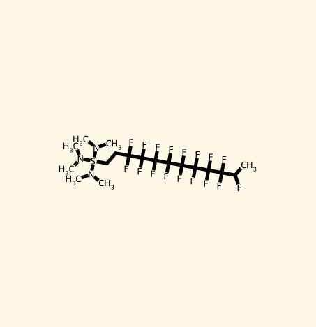 CC(F)C(F)(F)C(F)(F)C(F)(F)C(F)(F)C(F)(F)C(F)(F)C(F)(F)C(F)(F)CC[Si](N(C)C)(N(C)C)N(C)C